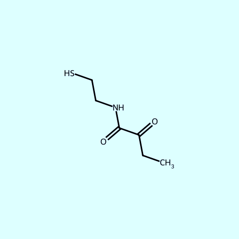 CCC(=O)C(=O)NCCS